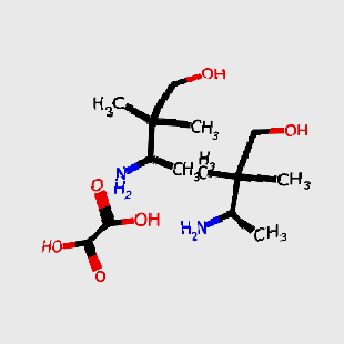 CC(N)C(C)(C)CO.CC(N)C(C)(C)CO.O=C(O)C(=O)O